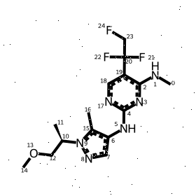 CNc1nc(Nc2cnn([C@H](C)COC)c2C)ncc1C(F)(F)CF